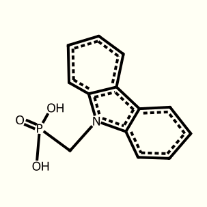 O=P(O)(O)Cn1c2ccccc2c2ccccc21